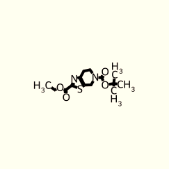 CCOC(=O)c1nc2c(s1)CN(C(=O)OC(C)(C)C)CC2